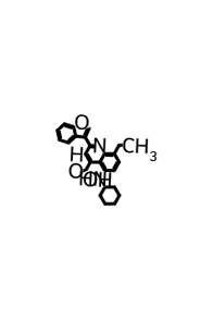 CCc1ccc(NC2CCCCC2)c2c(C(O)O)cc(-c3coc4ccccc34)nc12